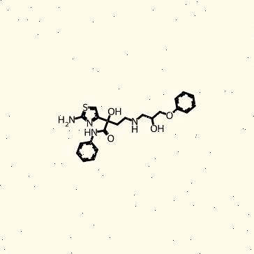 Nc1nc(C(O)(CCNCC(O)COc2ccccc2)C(=O)Nc2ccccc2)cs1